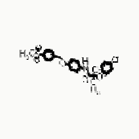 CC(C)(Oc1ccc(Cl)cc1)C(=O)Nc1ccc(OCc2ccc(S(C)(=O)=O)cc2)cc1